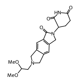 COC(CN1Cc2cc3c(cc2C1)C(=O)N(C1CCC(=O)NC1=O)C3)OC